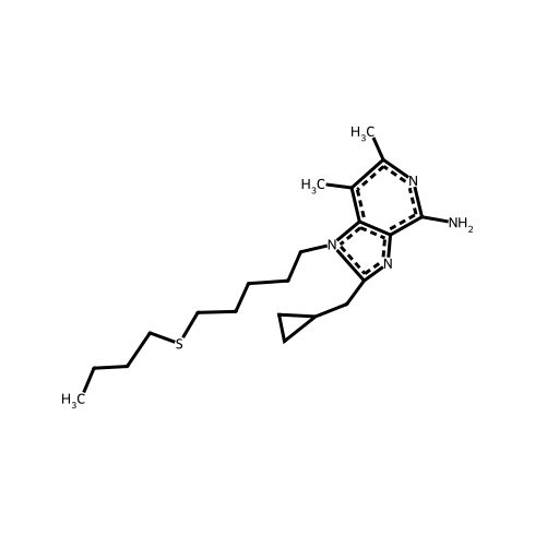 CCCCSCCCCCn1c(CC2CC2)nc2c(N)nc(C)c(C)c21